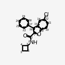 O=C(NC1CCC1)c1oc2ccc(Cl)cc2c1-c1ccccc1